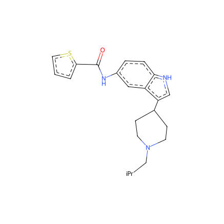 CC(C)CN1CCC(c2c[nH]c3ccc(NC(=O)c4cccs4)cc23)CC1